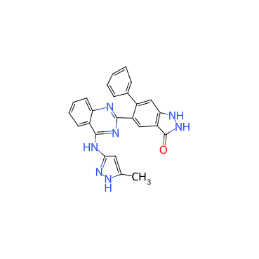 Cc1cc(Nc2nc(-c3cc4c(=O)[nH][nH]c4cc3-c3ccccc3)nc3ccccc23)n[nH]1